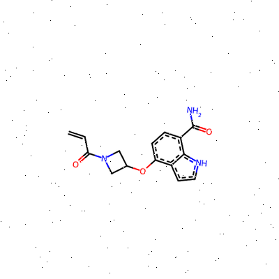 C=CC(=O)N1CC(Oc2ccc(C(N)=O)c3[nH]ccc23)C1